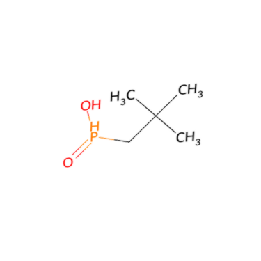 CC(C)(C)C[PH](=O)O